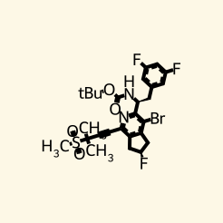 CC(C)(C)OC(=O)N[C@@H](Cc1cc(F)cc(F)c1)c1nc(C#CC(C)(C)S(C)(=O)=O)c2c(c1Br)C[C@@H](F)C2